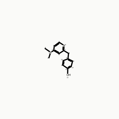 CN(C)c1ccnc(Cc2ccc(O)cc2)c1